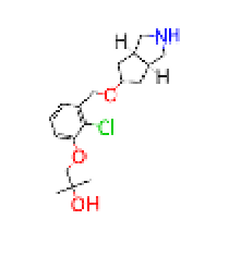 CC(C)(O)COc1cccc(COC2C[C@H]3CNC[C@H]3C2)c1Cl